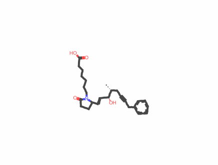 C[C@H](CC#CCc1ccccc1)[C@H](O)C=CC1CCC(=O)N1CCCCCCC(=O)O